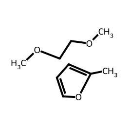 COCCOC.Cc1ccco1